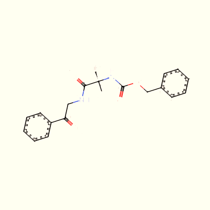 CC(C)[C@](C)(NC(=O)OCc1ccccc1)C(=O)NCC(=O)c1ccccc1